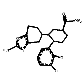 NC(=O)C1CCN(c2cccc(Cl)c2Cl)C(C2CCc3nc(N)sc3C2)C1